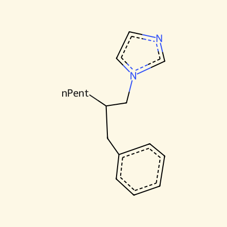 CCCCCC(Cc1ccccc1)Cn1ccnc1